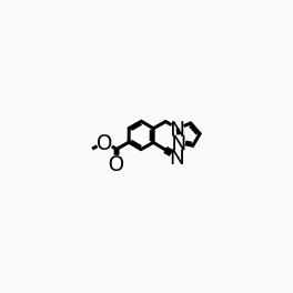 COC(=O)c1ccc(Cn2cccn2)c(C#N)c1